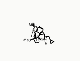 COc1ccc2c3c1O[C@H]1[C@@]4(OC)CC[C@@]5(C[C@@H]4CN=[N+]=[N-])[C@@H](C2)N(CC2CC2)CC[C@]315